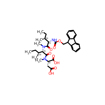 CC[C@H](C)[C@H](NC(=O)OCC1c2ccccc2-c2ccccc21)C(=O)N(C)[C@H](C(=O)N(C)[C@@H](CC(=O)O)C(=O)O)[C@@H](C)CC